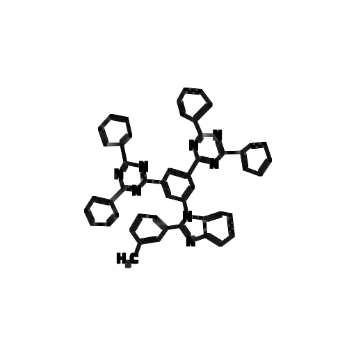 Cc1cccc(-c2nc3ccccc3n2-c2cc(-c3nc(-c4ccccc4)nc(-c4ccccc4)n3)cc(-c3nc(-c4ccccc4)nc(-c4ccccc4)n3)c2)c1